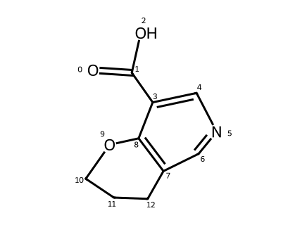 O=C(O)c1cncc2c1OCCC2